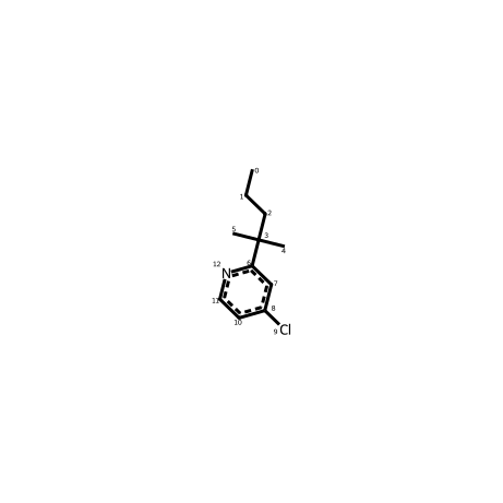 CCCC(C)(C)c1cc(Cl)ccn1